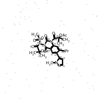 CC(=O)OC(C)(C)C(=O)N(n1c(=O)c2cc(-c3ccnn3C)c(C(C)C)cc2n(C(=O)C(C)(C)OC(C)=O)c1=O)S(C)(=O)=O